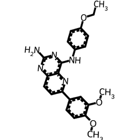 CCOc1ccc(Nc2nc(N)nc3ccc(-c4ccc(OC)c(OC)c4)nc23)cc1